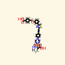 CC(NS(=O)(=O)N1CCN(c2ccc(C#Cc3nc(-c4cccc(OCc5ccc(C(=O)O)cc5)c4)cs3)cc2)CC1)C(=O)O